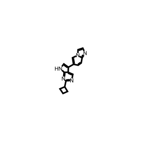 c1cn2cc(-c3c[nH]c4nc(C5CCC5)ncc34)ccc2n1